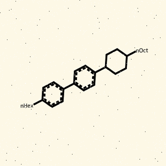 CCCCCCCCC1CCC(c2ccc(-c3ccc(CCCCCC)cc3)cc2)CC1